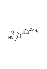 COc1ccc(-c2cc3c(s2)C(=O)NCC3)cc1